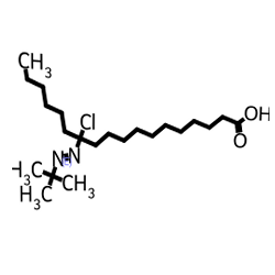 CCCCCCC(Cl)(CCCCCCCCCCC(=O)O)/N=N/C(C)(C)C